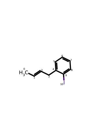 CC=CCc1ccccc1I